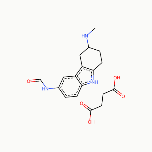 CNC1CCc2[nH]c3ccc(NC=O)cc3c2C1.O=C(O)CCC(=O)O